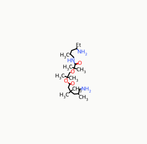 CCC(N)CC(C)CNC(=O)C(C)(C)OCC(C)(C)OC(=O)CC(C)(C)CC(C)CN